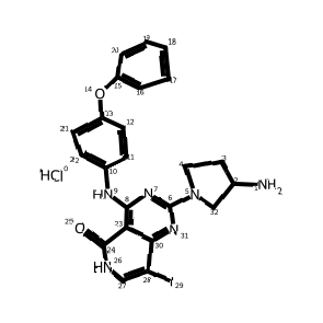 Cl.NC1CCN(c2nc(Nc3ccc(Oc4ccccc4)cc3)c3c(=O)[nH]cc(I)c3n2)C1